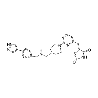 O=C1NC(=O)C(=Cc2ccnc(N3CCC(CNCc4ccc(-c5cn[nH]c5)nc4)CC3)n2)S1